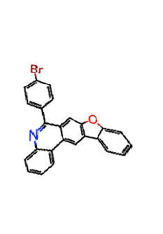 Brc1ccc(-c2nc3ccccc3c3cc4c(cc23)oc2ccccc24)cc1